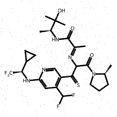 C/C(=N\C(C(=O)N1CCC[C@@H]1C)C(=S)c1cnc(N[C@H](C2CC2)C(F)(F)F)cc1C(F)F)C(=O)N[C@@H](C)C(C)(C)O